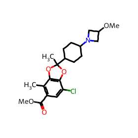 COC(=O)c1cc(Cl)c2c(c1C)OC(C)(C1CCC(N3CC(OC)C3)CC1)O2